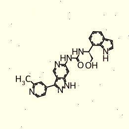 Cc1cc(-c2n[nH]c3cc(NC(=O)N[C@H](CO)c4cccc5cc[nH]c45)ncc23)ccn1